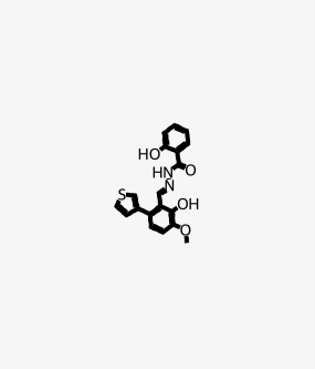 COc1ccc(-c2ccsc2)c(C=NNC(=O)c2ccccc2O)c1O